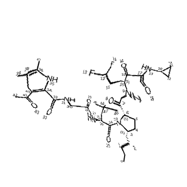 CCC[C@H]1CC[C@@H](C(=O)N[C@@H](CC(F)F)C(=O)C(=O)NC2CC2)N1C(=O)[C@@H](NC(=O)CNC(=O)c1[nH]c(C)c(C)c1C(C)=O)C(C)(C)C